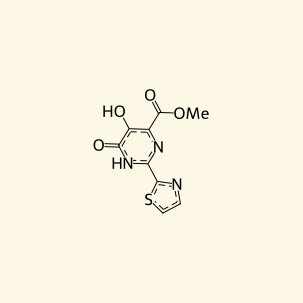 COC(=O)c1nc(-c2nccs2)[nH]c(=O)c1O